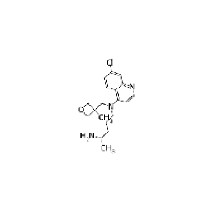 CC(N)CCCN(CC1(C)COC1)c1ccnc2cc(Cl)ccc12